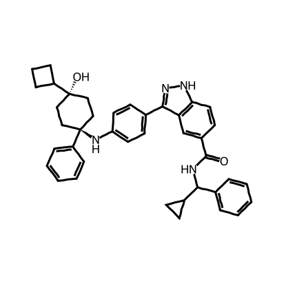 O=C(NC(c1ccccc1)C1CC1)c1ccc2[nH]nc(-c3ccc(N[C@]4(c5ccccc5)CC[C@](O)(C5CCC5)CC4)cc3)c2c1